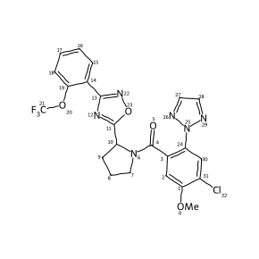 COc1cc(C(=O)N2CCCC2c2nc(-c3ccccc3OC(F)(F)F)no2)c(-n2nccn2)cc1Cl